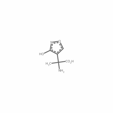 CC(N)(C(=O)O)c1conc1O